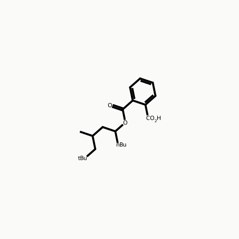 CCCCC(CC(C)CC(C)(C)C)OC(=O)c1ccccc1C(=O)O